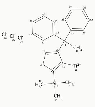 CC(C1=CCC([Si](C)(C)C)=[C]1[Ti+3])(c1ccccc1)c1ccccc1.[Cl-].[Cl-].[Cl-]